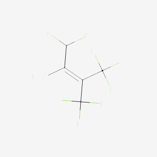 CC(=C(C(F)(F)F)C(F)(F)F)C(F)F